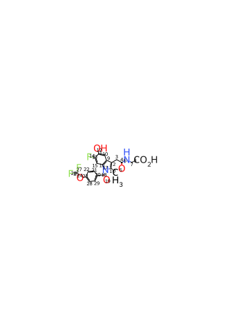 Cc1c(CC(=O)NCC(=O)O)c2cc(O)c(F)cc2n1C(=O)c1ccc(OC(F)F)cc1